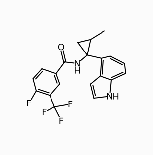 CC1CC1(NC(=O)c1ccc(F)c(C(F)(F)F)c1)c1cccc2[nH]ccc12